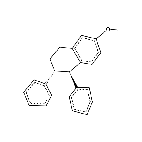 COc1ccc2c(c1)CC[C@@H](c1ccccc1)[C@@H]2c1ccccc1